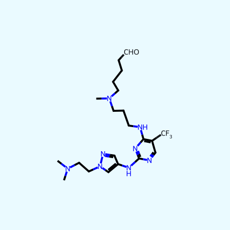 CN(C)CCn1cc(Nc2ncc(C(F)(F)F)c(NCCCN(C)CCCCC=O)n2)cn1